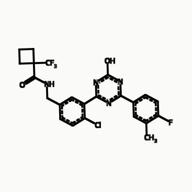 Cc1cc(-c2nc(O)nc(-c3cc(CNC(=O)C4(C(F)(F)F)CCC4)ccc3Cl)n2)ccc1F